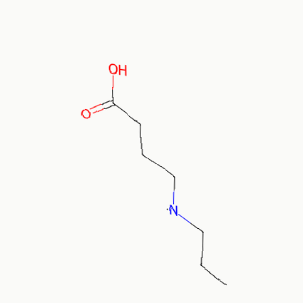 CCC[N]CCCC(=O)O